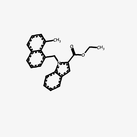 CCOC(=O)c1cc2ccccc2n1Cc1cccc2cccc(C)c12